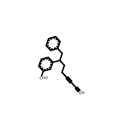 C#CC#CCCC(Cc1ccccc1)c1cccc(C=O)c1